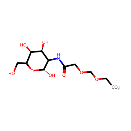 O=C(O)COCOCC(=O)NC1[C@H](O)OC(CO)[C@@H](O)[C@H]1O